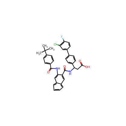 CC(C)(C)c1ccc(C(=O)Nc2cc3ccccc3cc2C(=O)NC(CC(=O)O)c2ccc(-c3ccc(F)c(Cl)c3)cc2)cc1